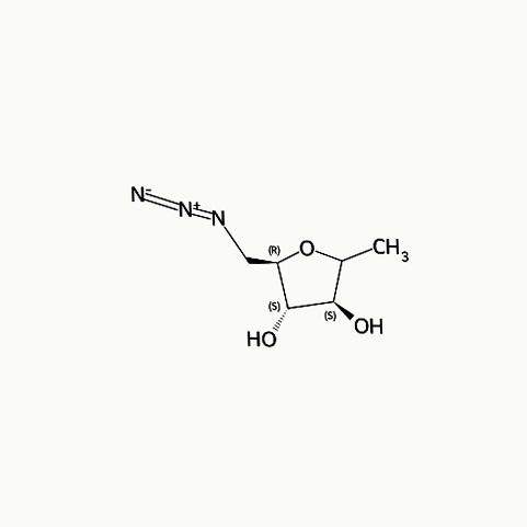 CC1O[C@H](CN=[N+]=[N-])[C@@H](O)[C@@H]1O